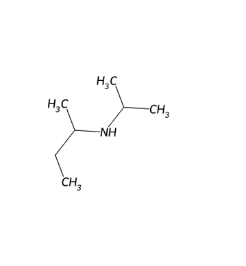 CCC(C)NC(C)C